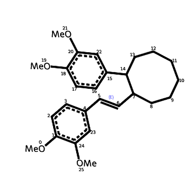 COc1ccc(/C=C/C2CCCCCCC2c2ccc(OC)c(OC)c2)cc1OC